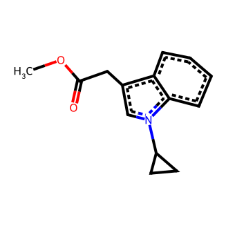 COC(=O)Cc1cn(C2CC2)c2ccccc12